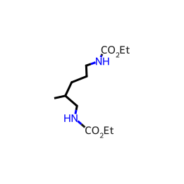 CCOC(=O)NCCCC(C)CNC(=O)OCC